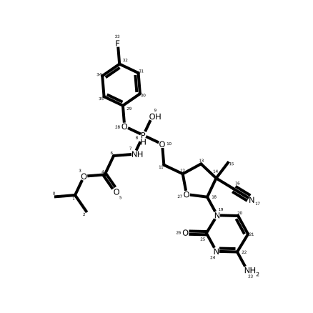 CC(C)OC(=O)CN[PH](O)(OCC1CC(C)(C#N)C(n2ccc(N)nc2=O)O1)Oc1ccc(F)cc1